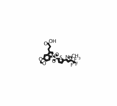 Cn1nc(-c2ccc(S(=O)(=O)n3cc(CCC(=O)O)c4cc5c(cc43)OCO5)s2)cc1C(F)(F)F